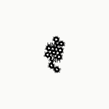 C1=C(c2ccccc2)N=C(c2cccc(-c3cccc(C4=C(c5ccccc5)C(c5ccccc5)NC(c5ccccc5)=C4c4ccccc4)c3)c2)NC1c1cccc(-c2ccccc2)c1